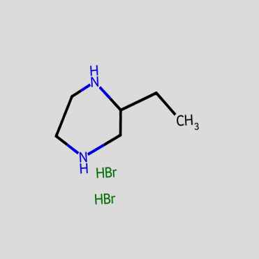 Br.Br.CCC1CNCCN1